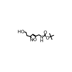 CC(C)(C)OC(=O)NCc1cc(CCO)no1